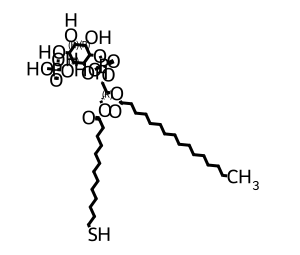 CCCCCCCCCCCCCCCC(=O)O[C@H](COC(=O)CCCCCCCCCCCCS)COP(=O)(O)OC1C(O)[C@@H](OP(=O)(O)O)C(O)[C@@H](O)[C@H]1O